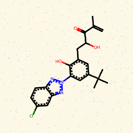 C=C(C)C(=O)C(O)Cc1cc(C(C)(C)C)cc(-n2nc3ccc(Cl)cc3n2)c1O